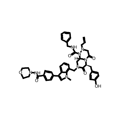 C=CCN1CC(=O)N2[C@@H](Cc3ccc(O)cc3)C(=O)N(Cc3cccc4c(-c5ccc(C(=O)NN6CCOCC6)cc5)cn(C)c34)C[C@@H]2N1C(=O)NCc1ccccc1